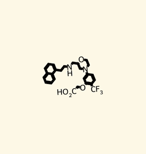 O=C(O)COc1cc(N2CCOC(CNCCc3cccc4ccccc34)C2)ccc1C(F)(F)F